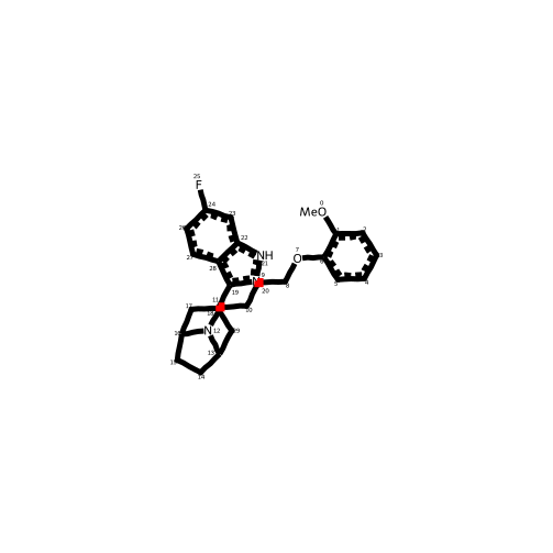 COc1c[c]ccc1OCCCCN1C2CCC1CC(c1n[nH]c3cc(F)ccc13)C2